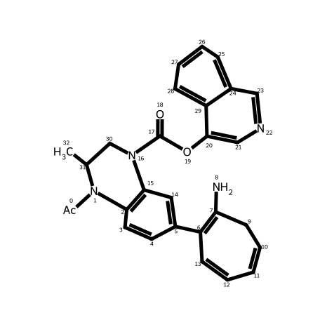 CC(=O)N1c2ccc(C3=C(N)CC=CC=C3)cc2N(C(=O)Oc2cncc3ccccc23)CC1C